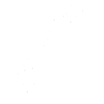 N#Cc1ccc(-c2ccc(OC(=O)CCCCCCCC(=O)Oc3ccc(-c4ccc(C#N)c(F)c4)c(P)c3)cc2F)cc1F